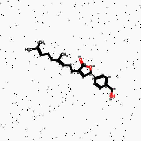 CC(C)=CCC/C(C)=C/CCC1=C[C@@H](c2ccc(CO)cc2)OC1=O